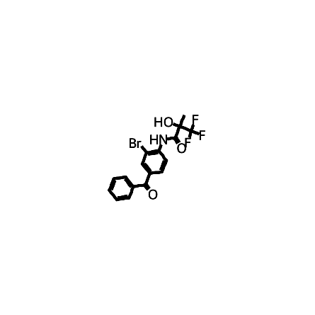 CC(O)(C(=O)Nc1ccc(C(=O)c2ccccc2)cc1Br)C(F)(F)F